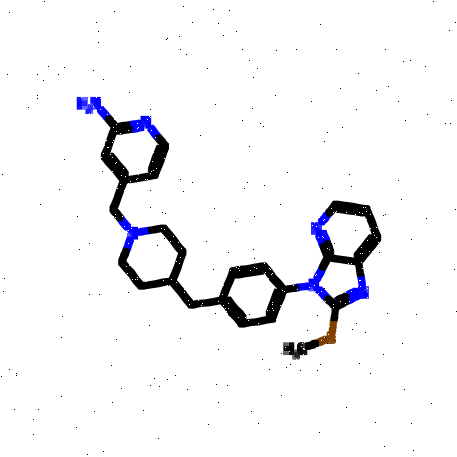 CSc1nc2cccnc2n1-c1ccc(CC2CCN(Cc3ccnc(N)c3)CC2)cc1